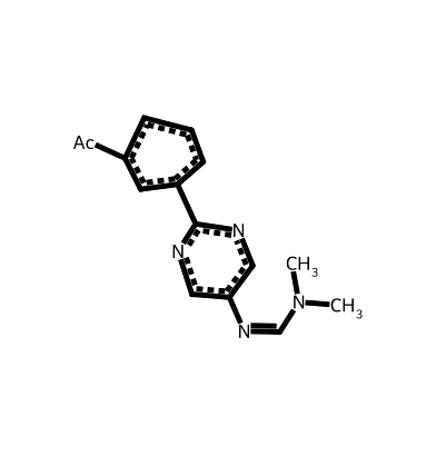 CC(=O)c1cccc(-c2ncc(/N=C\N(C)C)cn2)c1